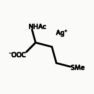 CSCCC(NC(C)=O)C(=O)[O-].[Ag+]